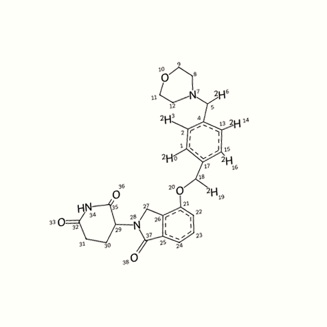 [2H]c1c([2H])c(C([2H])N2CCOCC2)c([2H])c([2H])c1C([2H])Oc1cccc2c1CN(C1CCC(=O)NC1=O)C2=O